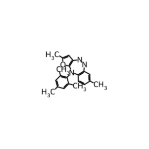 Cc1cc(C)c(N2c3ccc(C)cc3N=Nc3cc(C)oc32)c(C)c1